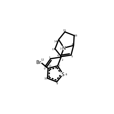 C=CCN1C2C=C(c3sccc3Br)CC1CC2